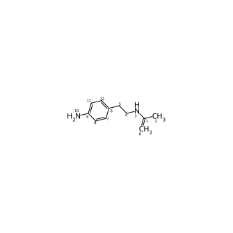 C=C(C)NCCc1ccc(N)cc1